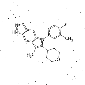 Cc1cc(-n2c(C3CCOCC3)c(C)c3cc4[nH]ncc4cc32)ccc1F